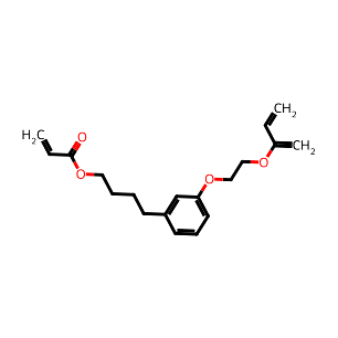 C=CC(=C)OCCOc1cccc(CCCCOC(=O)C=C)c1